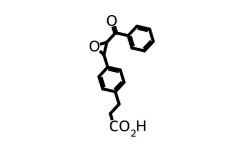 O=C(O)CCc1ccc(C2OC2C(=O)c2ccccc2)cc1